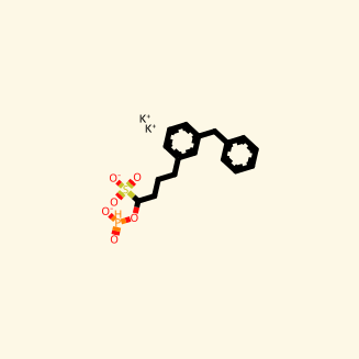 O=[PH]([O-])OC(CCCc1cccc(Cc2ccccc2)c1)S(=O)(=O)[O-].[K+].[K+]